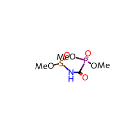 COS(=O)NC(=O)P(=O)(OC)OC